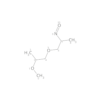 COC(C)COCC(C)N=O